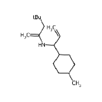 C=CC(NC(=C)CC(C)(C)C)C1CCC(C)CC1